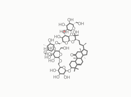 C[C@@H]1[C@@H](O)[C@H](OC[C@H]2O[C@@H](O[C@H](CC[C@@H](C)C3CC[C@@]4(C)C5CC=C6C(CC[C@H](O[C@@H]7O[C@H](CO[C@@H]8O[C@H](CO)[C@@H](O)[C@H](O)[C@H]8O)[C@@H](O)[C@H](O)[C@H]7O)C6(C)C)[C@]5(C)C(=O)C[C@]34C)C(C)(C)O)[C@H](O[C@H]3O[C@@H](CO)[C@H](O)[C@@H](O)[C@@H]3O)[C@@H](O)[C@@H]2O)O[C@H](CO)[C@H]1O